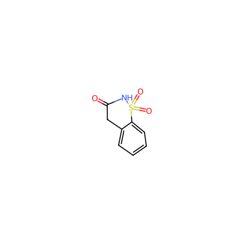 O=C1Cc2ccccc2S(=O)(=O)N1